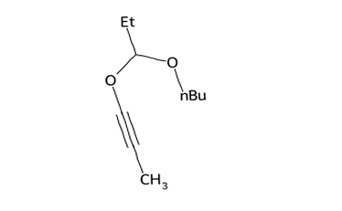 CC#COC(CC)OCCCC